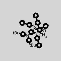 Cc1cc(-c2ccccc2)ccc1N1c2cc(N(c3ccc(C(C)(C)C)cc3)c3ccc(C(C)(C)C)cc3)ccc2B2c3c1cc1oc4ccccc4c1c3-c1ccc(-c3ccccc3)cc1N2c1ccc(-c2ccccc2)cc1